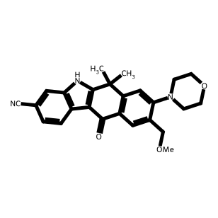 COCc1cc2c(cc1N1CCOCC1)C(C)(C)c1[nH]c3cc(C#N)ccc3c1C2=O